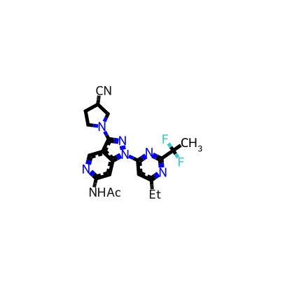 CCc1cc(-n2nc(N3CCC(C#N)C3)c3cnc(NC(C)=O)cc32)nc(C(C)(F)F)n1